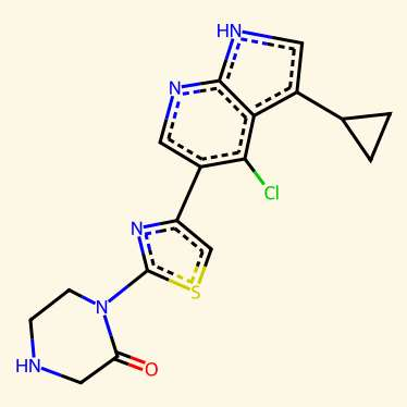 O=C1CNCCN1c1nc(-c2cnc3[nH]cc(C4CC4)c3c2Cl)cs1